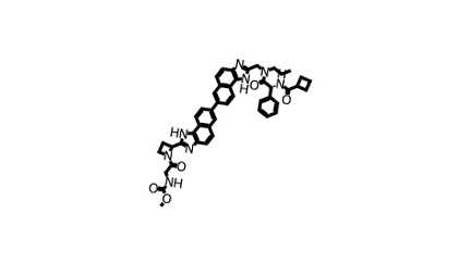 CCCN(Cc1nc2ccc3cc(-c4ccc5c(ccc6nc(C7CCN7C(=O)CNC(=O)OC)[nH]c65)c4)ccc3c2[nH]1)C(=O)[C@H](NC(=O)C1CCC1)c1ccccc1